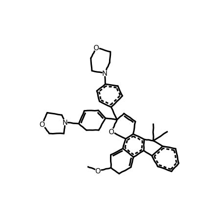 COC1C=c2c3c(c4c(c2=CC1)-c1ccccc1C4(C)C)C=CC(C1=CC=C(N2CCOCC2)CC1)(c1ccc(N2CCOCC2)cc1)O3